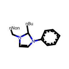 CCCCCCCCCCN1C=CN(c2ccccc2)C1CCCC